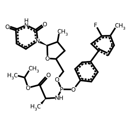 Cc1ccc(-c2ccc(OP(N[C@@H](C)C(=O)OC(C)C)OCC3CC(C)[C@H](n4ccc(=O)[nH]c4=O)O3)cc2)cc1F